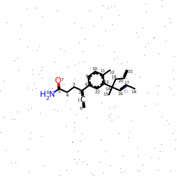 C=C=C(CCC(N)=O)c1ccc(C)c(C(C)(/C=C/C)CC=C)c1